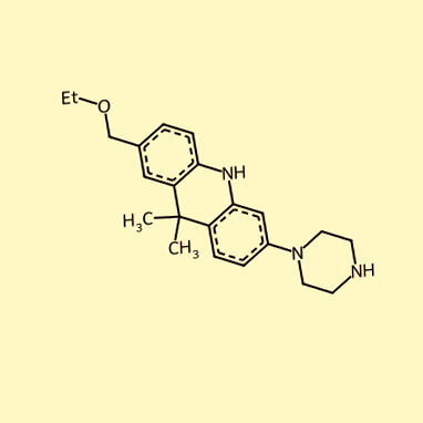 CCOCc1ccc2c(c1)C(C)(C)c1ccc(N3CCNCC3)cc1N2